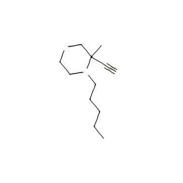 CCCCCN1CCNCC1(C)C#N